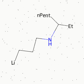 [Li][CH2]CCNC(CC)CCCCC